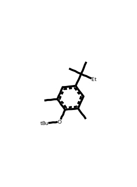 CCC(C)(C)c1cc(C)c(OC(C)(C)C)c(C)c1